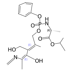 C=N/C(C)=C(O)\C(CO)=C(/C)COP(=O)(N[C@H](C)C(=O)OC(C)C)Oc1ccccc1